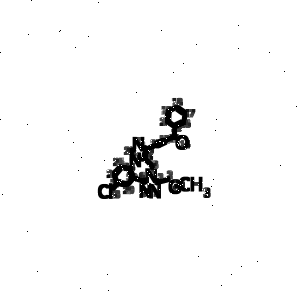 COCc1nnc2n1Cc1c(C#CC(=O)c3ccccc3)ncn1-c1ccc(Cl)cc1-2